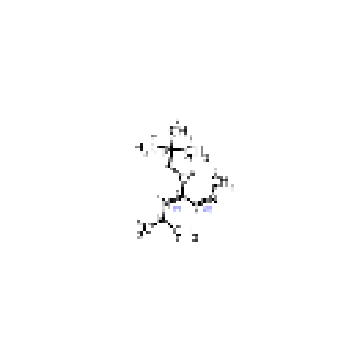 C/N=C\C(=N/C(C)C)OCC(C)(C)C